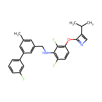 Cc1cc(CNc2c(F)ccc(OC3=NC=C3C(C)C)c2F)cc(-c2cccc(F)c2)c1